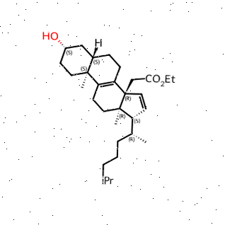 CCOC(=O)C[C@@]12C=C[C@H]([C@H](C)CCCC(C)C)[C@@]1(C)CCC1=C2CC[C@H]2C[C@@H](O)CC[C@]12C